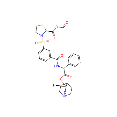 O=COC(=O)[C@@H]1SCCN1S(=O)(=O)c1cccc(C(=O)NC(C(=O)O[C@H]2CN3CCC2CC3)c2ccccc2)c1